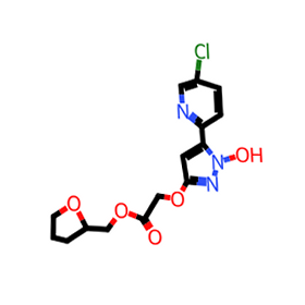 O=C(COc1cc(-c2ccc(Cl)cn2)n(O)n1)OCC1CCCO1